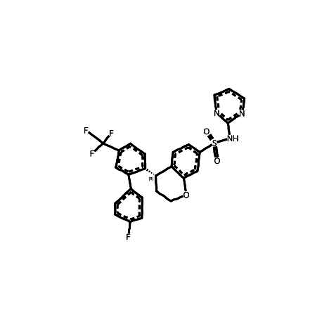 O=S(=O)(Nc1ncccn1)c1ccc2c(c1)OCC[C@@H]2c1ccc(C(F)(F)F)cc1-c1ccc(F)cc1